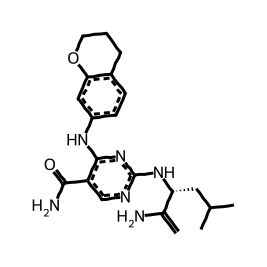 C=C(N)[C@@H](CC(C)C)Nc1ncc(C(N)=O)c(Nc2ccc3c(c2)OCCC3)n1